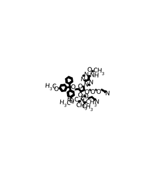 COc1ccc(C(OCC2OC(n3cnc4c(NC(C)=O)ncnc43)C(OCOCOCC#N)C2OP(OCCC#N)N(C(C)C)C(C)C)(c2ccccc2)c2ccc(OC)cc2)cc1